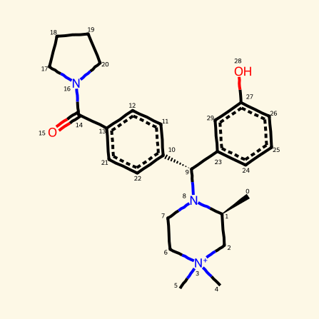 C[C@H]1C[N+](C)(C)CCN1[C@H](c1ccc(C(=O)N2CCCC2)cc1)c1cccc(O)c1